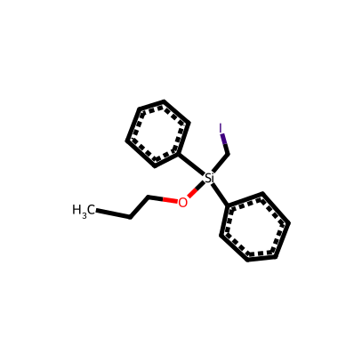 CCCO[Si](CI)(c1ccccc1)c1ccccc1